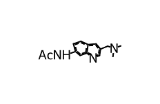 CC(=O)Nc1ccc2cc(CN(C)C)cnc2c1